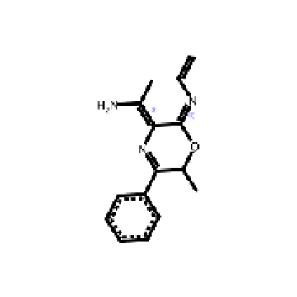 C=C/N=C1/OC(C)C(c2ccccc2)=N/C1=C(/C)N